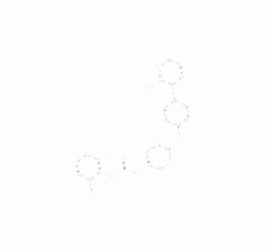 Nc1ncc(F)cc1-c1ccc(Oc2ncc(NC(=O)Nc3c(F)cccc3F)cn2)cc1